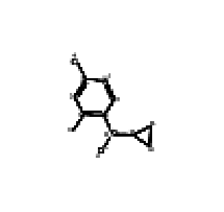 Cc1cc(Cl)ncc1[S+]([O-])C1CC1